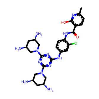 Cc1ccc(C(=O)Nc2ccc(Nc3nc(N4C[C@H](N)C[C@H](N)C4)nc(N4C[C@H](N)C[C@H](N)C4)n3)cc2Cl)c(O)n1